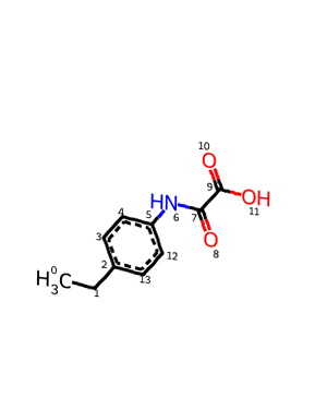 CCc1ccc(NC(=O)C(=O)O)cc1